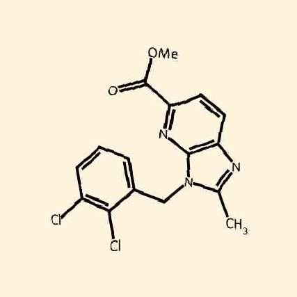 COC(=O)c1ccc2nc(C)n(Cc3cccc(Cl)c3Cl)c2n1